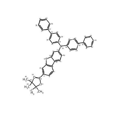 CC1(C)OB(c2ccc3c(c2)sc2cc(N(c4ccc(-c5ccccc5)cc4)c4ccc(-c5ccccc5)cc4)ccc23)OC1(C)C